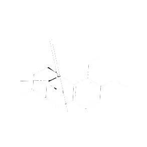 COc1ccc2c(c1OC)[C@]13CCN(C)[C@H](C2)[C@]1(O)C(C)CC(=O)C3